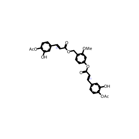 COc1cc(OC(=O)/C=C/c2ccc(OC(C)=O)c(O)c2)ccc1COC(=O)/C=C/c1ccc(OC(C)=O)c(O)c1